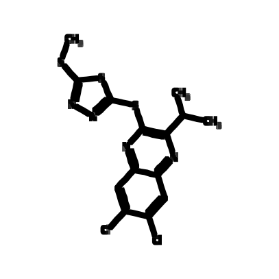 CSc1nnc(Sc2nc3cc(Cl)c(Cl)cc3nc2C(C)C)s1